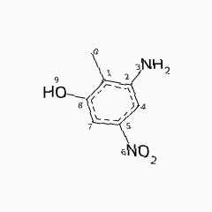 Cc1c(N)cc([N+](=O)[O-])cc1O